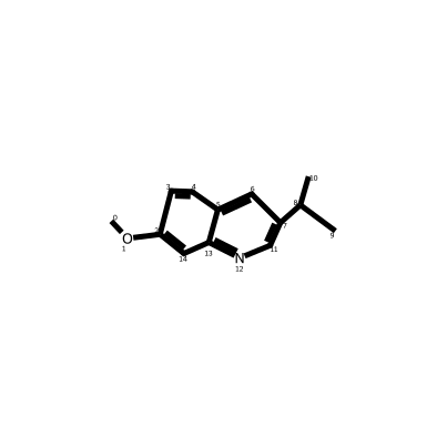 COc1ccc2cc(C(C)C)cnc2c1